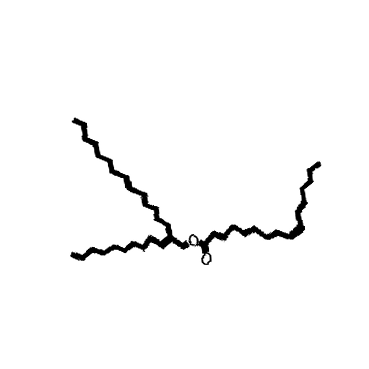 CCCCCC/C=C\CCCCCCCC(=O)OCC(CCCCCCCCCC)CCCCCCCCCCCCCC